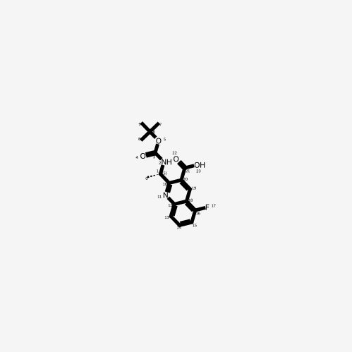 C[C@H](NC(=O)OC(C)(C)C)c1nc2cccc(F)c2cc1C(=O)O